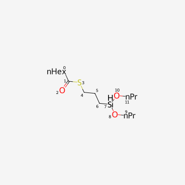 CCCCCCC(=O)SCCC[SiH](OCCC)OCCC